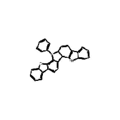 C1=CC2C(c3ccc4c(oc5ccccc54)c3N2c2ccccc2)c2[nH]c3ccccc3c21